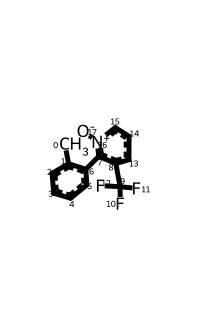 Cc1ccccc1-c1c(C(F)(F)F)ccc[n+]1[O-]